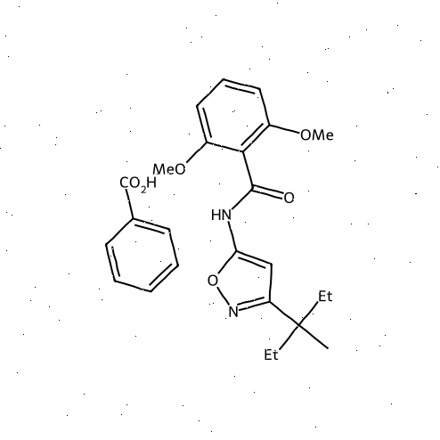 CCC(C)(CC)c1cc(NC(=O)c2c(OC)cccc2OC)on1.O=C(O)c1ccccc1